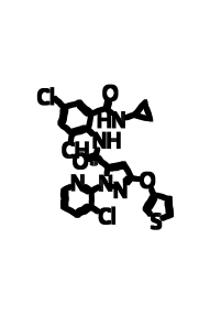 Cc1cc(Cl)cc(C(=O)NC2CC2)c1NC(=O)c1cc(Oc2ccsc2)nn1-c1ncccc1Cl